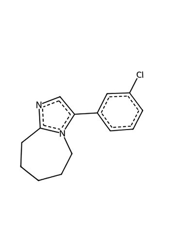 Clc1cccc(-c2cnc3n2CCCCC3)c1